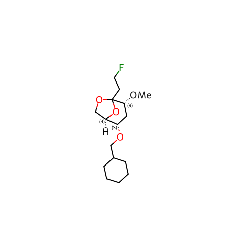 CO[C@@H]1C[C@H](OCC2CCCCC2)[C@H]2COC1(CCF)O2